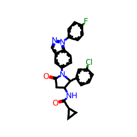 O=C(NC1CC(=O)N(c2ccc3c(cnn3-c3ccc(F)cc3)c2)C1c1cccc(Cl)c1)C1CC1